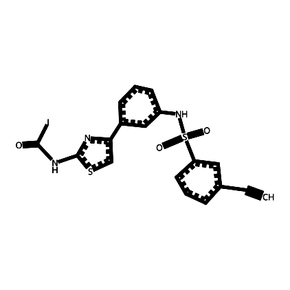 C#Cc1cccc(S(=O)(=O)Nc2cccc(-c3csc(NC(=O)I)n3)c2)c1